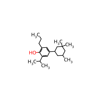 CCCc1cc(C2CC(C)CC(C)(C)C2)cc(C(C)C)c1O